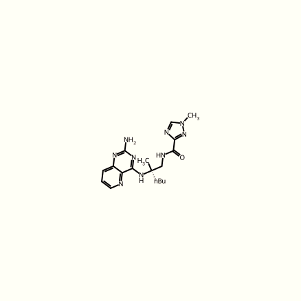 CCCC[C@](C)(CNC(=O)c1ncn(C)n1)Nc1nc(N)nc2cccnc12